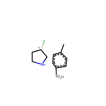 Cc1ccc(S(=O)(=O)O)cc1.F[C@H]1CCNC1